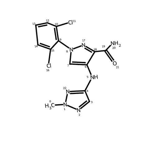 Cn1ncc(Nc2cn(-c3c(Cl)cccc3Cl)nc2C(N)=O)n1